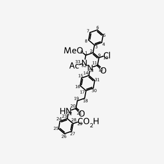 COC1C(c2ccccc2)=C(Cl)C(=O)N(c2ccc(CCC(=O)Nc3ccccc3C(=O)O)cc2)N1C(C)=O